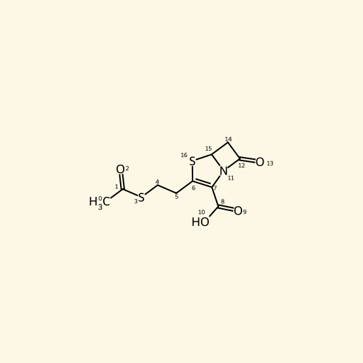 CC(=O)SCCC1=C(C(=O)O)N2C(=O)CC2S1